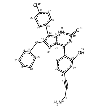 NCC#Cc1ccc(-c2cc(=O)[nH]c3c(-c4ccc(Cl)cc4)c(Cc4ccccc4)nn23)c(O)c1